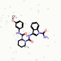 C[C@@H]1CCC[C@@H](C(=O)Nc2cccc(OC(F)(F)F)c2)N1C(=O)Nc1cn(C(N)=O)c2ccccc12